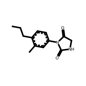 CCCc1ccc(N2C(=O)CNC2=O)cc1C